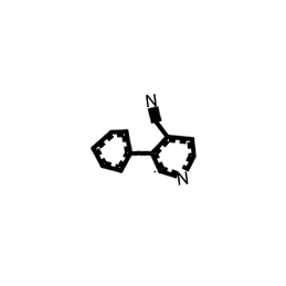 N#Cc1ccn[c]c1-c1ccccc1